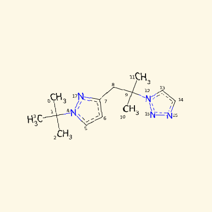 CC(C)(C)n1ccc(CC(C)(C)n2ccnn2)n1